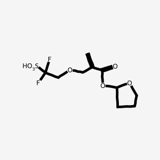 C=C(COCC(F)(F)S(=O)(=O)O)C(=O)OC1CCCO1